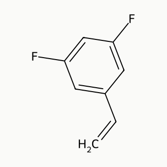 C=Cc1cc(F)cc(F)c1